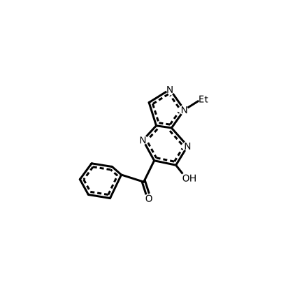 CCn1ncc2nc(C(=O)c3ccccc3)c(O)nc21